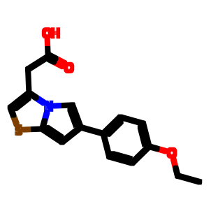 CCOc1ccc(-c2cc3scc(CC(=O)O)n3c2)cc1